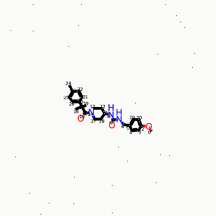 COc1ccc(CNC(=O)NC2CCN(C(=O)C(C)(C)c3ccc(C)cc3)CC2)cc1